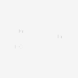 OC(Br)C#CCBr